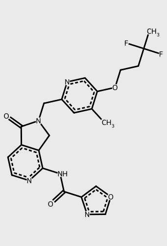 Cc1cc(CN2Cc3c(ccnc3NC(=O)c3cocn3)C2=O)ncc1OCCC(C)(F)F